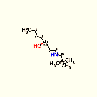 CCCC[C@H](O)CCCNCC(C)(C)C